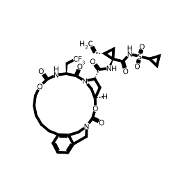 C=C[C@@H]1C[C@]1(NC(=O)[C@@H]1C[C@@H]2CN1C(=O)[C@H](CC(F)(F)F)NC(=O)OCCCCCc1cccc3c1CN(C3)C(=O)O2)C(=O)NS(=O)(=O)C1CC1